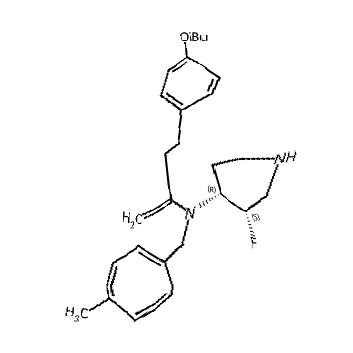 C=C(CCc1ccc(OCC(C)C)cc1)N(Cc1ccc(C)cc1)[C@@H]1CCNC[C@@H]1F